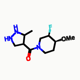 CO[C@H]1CCN(C(=O)C2CNNC2C)C[C@H]1F